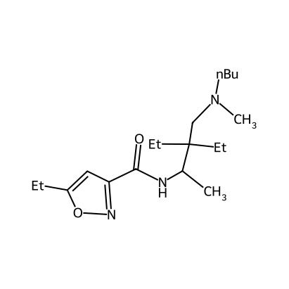 CCCCN(C)CC(CC)(CC)C(C)NC(=O)c1cc(CC)on1